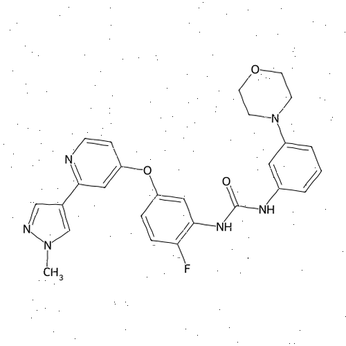 Cn1cc(-c2cc(Oc3ccc(F)c(NC(=O)Nc4cccc(N5CCOCC5)c4)c3)ccn2)cn1